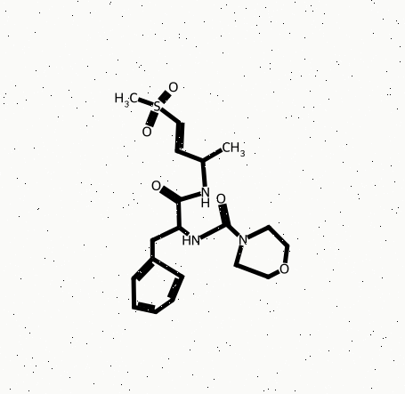 CC(C=CS(C)(=O)=O)NC(=O)C(Cc1ccccc1)NC(=O)N1CCOCC1